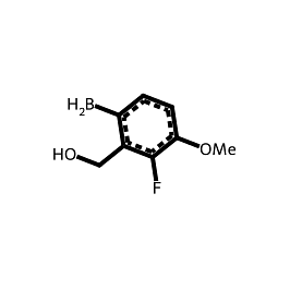 Bc1ccc(OC)c(F)c1CO